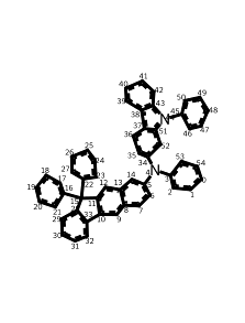 c1ccc(N(c2ccc3cc4c(cc3c2)C(c2ccccc2)(c2ccccc2)c2ccccc2-4)c2ccc3c4ccccc4n(-c4ccccc4)c3c2)cc1